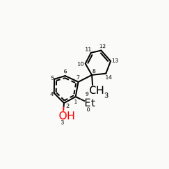 CCc1c(O)cccc1C1(C)C=CC=CC1